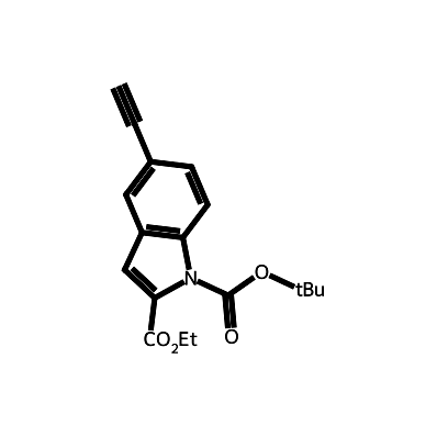 C#Cc1ccc2c(c1)cc(C(=O)OCC)n2C(=O)OC(C)(C)C